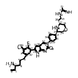 C=C[C@@H](N)CCCc1cc(Cl)c(F)c(-c2cc3cn(-c4ccc([C@@H]5COC[C@@H](CCNC(C)=N)N5)cc4)c(=O)nc3[nH]2)c1